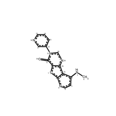 CNc1ccnc2sc3c(=O)n(-c4cccnc4)cnc3c12